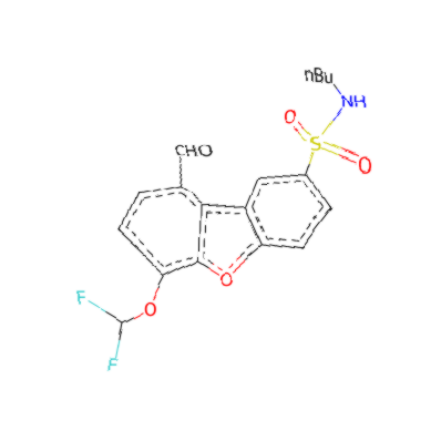 CCCCNS(=O)(=O)c1ccc2oc3c(OC(F)F)ccc(C=O)c3c2c1